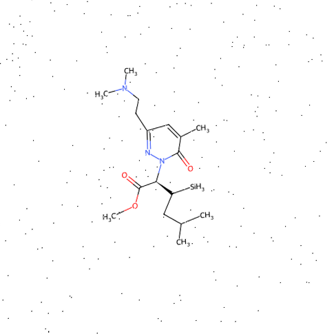 COC(=O)[C@H](C([SiH3])CC(C)C)n1nc(CCN(C)C)cc(C)c1=O